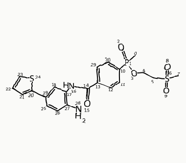 CP(=O)(OCCS(C)(=O)=O)c1ccc(C(=O)Nc2cc(-c3cccs3)ccc2N)cc1